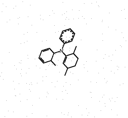 CC1C=C(N(c2ccccc2)C2C=CC=CC2C)C(C)CC1